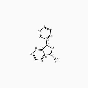 CC(=O)N1CC(c2ccccc2)c2ccccc21